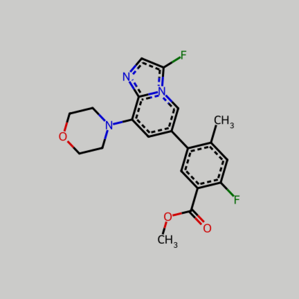 COC(=O)c1cc(-c2cc(N3CCOCC3)c3ncc(F)n3c2)c(C)cc1F